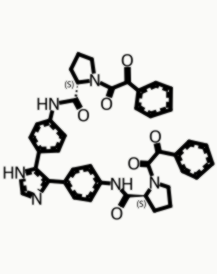 O=C(C(=O)N1CCC[C@H]1C(=O)Nc1ccc(-c2nc[nH]c2-c2ccc(NC(=O)[C@@H]3CCCN3C(=O)C(=O)c3ccccc3)cc2)cc1)c1ccccc1